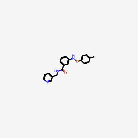 Cc1ccc(SNc2cccc(C(=O)NCc3cccnc3)c2)cc1